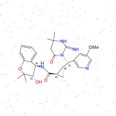 COc1cncc([C@H]([C@@H]2C[C@H]2C(=O)N[C@@H]2c3ccccc3OC(C)(C)[C@H]2O)N2C(=N)NC(C)(C)CC2=O)c1